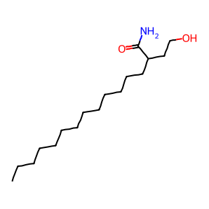 CCCCCCCCCCCCCC(CCO)C(N)=O